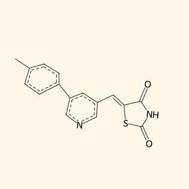 Cc1ccc(-c2cncc(/C=C3\SC(=O)NC3=O)c2)cc1